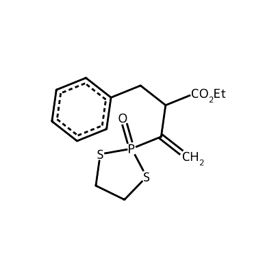 C=C(C(Cc1ccccc1)C(=O)OCC)P1(=O)SCCS1